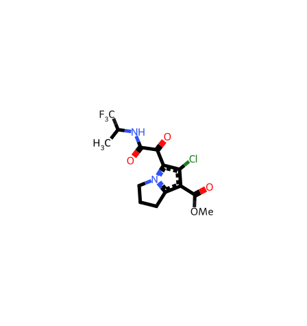 COC(=O)c1c(Cl)c(C(=O)C(=O)NC(C)C(F)(F)F)n2c1CCC2